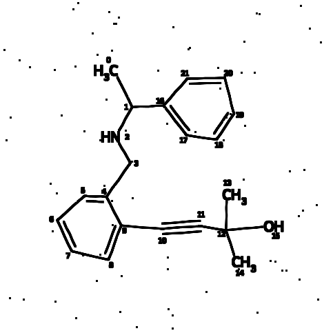 CC(NCc1ccccc1C#CC(C)(C)O)c1ccccc1